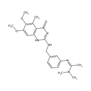 COc1cc2[nH]c(NCc3cccc(N=C(C)N(C)C)c3)nc(=O)c2c(C)c1OC